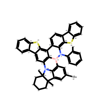 Cc1ccccc1N1B2c3cc(C(C)(C)C)cc4c3N(c3cc5c(sc6ccccc65)c(c32)-c2ccc3c(sc5ccccc53)c21)C1(C)CCCCC41C